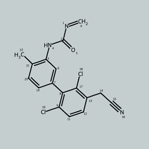 C=NC(=O)Nc1cc(-c2c(Cl)ccc(CC#N)c2Cl)ccc1C